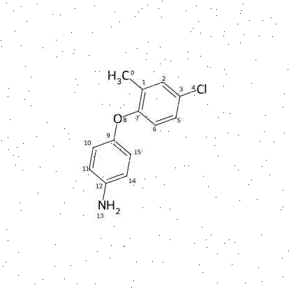 Cc1cc(Cl)ccc1Oc1ccc(N)cc1